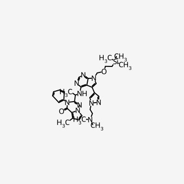 Cc1ccn2nc(C(C)Nc3ncnc4c3c(-c3cnn(CCN(C)C)c3)cn4COCC[Si](C)(C)C)n(-c3ccccc3)c(=O)c12